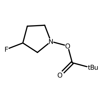 CC(C)(C)C(=O)ON1CCC(F)C1